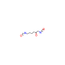 O=C=NCCCCC(=O)CN=C=O